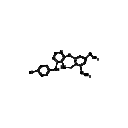 COc1cc(OC)c2c(c1)Oc1ncnc(Nc3ccc(Cl)cc3)c1NC2